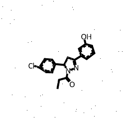 CCC(=O)N1N=C(c2cccc(O)c2)CC1c1ccc(Cl)cc1